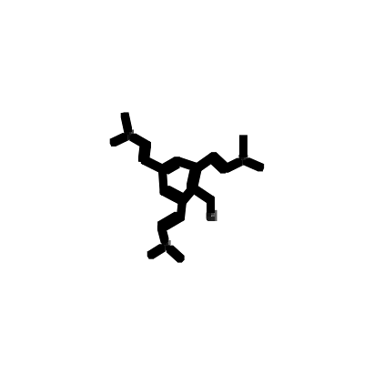 CN(C)C=Cc1cc(C=CN(C)C)c(CCl)c(C=CN(C)C)c1